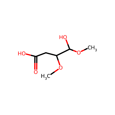 COC(O)C(CC(=O)O)OC